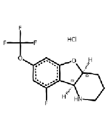 Cl.Fc1cc(OC(F)(F)F)cc2c1[C@@H]1NCCC[C@@H]1O2